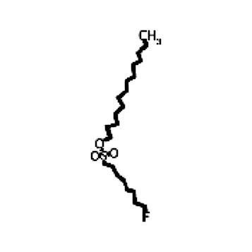 CCCCCCCCCCCCCCOS(=O)(=O)CCCCCCCCF